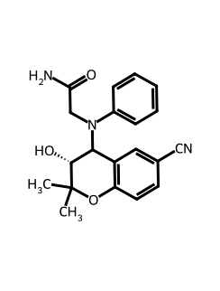 CC1(C)Oc2ccc(C#N)cc2C(N(CC(N)=O)c2ccccc2)[C@H]1O